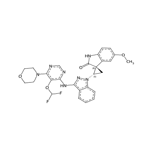 COc1ccc2c(c1)[C@@]1(C[C@@H]1n1nc(Nc3ncnc(N4CCOCC4)c3OC(F)F)c3ccccc31)C(=O)N2